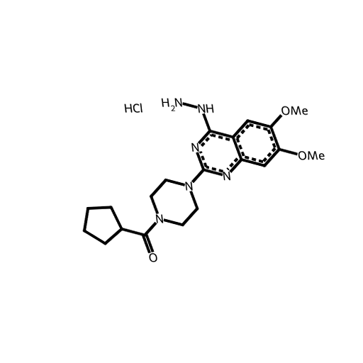 COc1cc2nc(N3CCN(C(=O)C4CCCC4)CC3)nc(NN)c2cc1OC.Cl